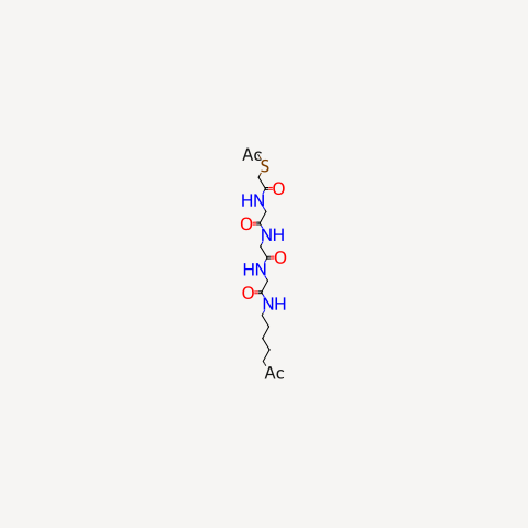 CC(=O)CCCCCNC(=O)CNC(=O)CNC(=O)CNC(=O)CSC(C)=O